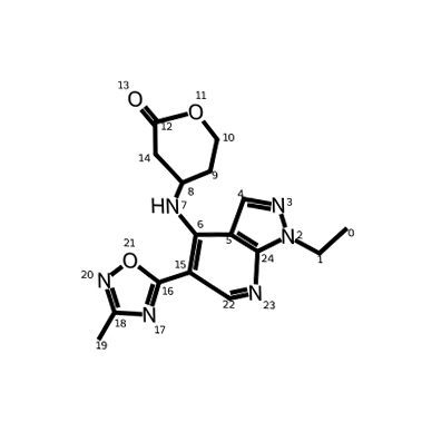 CCn1ncc2c(NC3CCOC(=O)C3)c(-c3nc(C)no3)cnc21